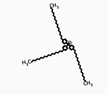 CCCCCCCCCCCCCCCCCCc1ccc(C([O])(c2ccc(CCCCCCCCCCCCCCCCCC)cc2)c2ccc(CCCCCCCCCCCCCCCCCC)cc2)cc1